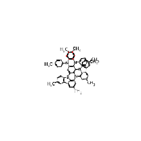 Cc1ccc(N(c2ccc(C)cc2)c2cc3c4c(c2N(c2ccc(C)cc2)c2ccc(C)cc2)B2c5ccc(C)cc5-c5cc(C)cc(c52)N4c2cc(C)cc4c2B3c2ccc(C)cc2-4)cc1